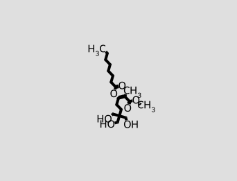 CCCCCCCC(=O)OC(CCC(CO)(CO)CO)=C(C)C(=O)OC